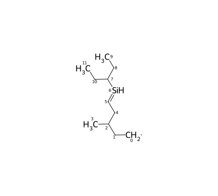 [CH2]CC(C)CC=[SiH]C(CC)CC